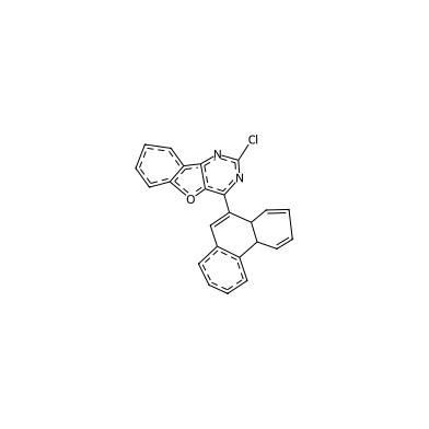 Clc1nc(C2=Cc3ccccc3C3C=CC=CC23)c2oc3ccccc3c2n1